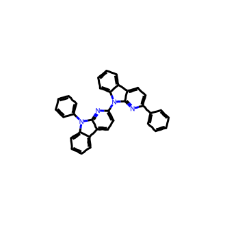 c1ccc(-c2ccc3c4ccccc4n(-c4ccc5c6ccccc6n(-c6ccccc6)c5n4)c3n2)cc1